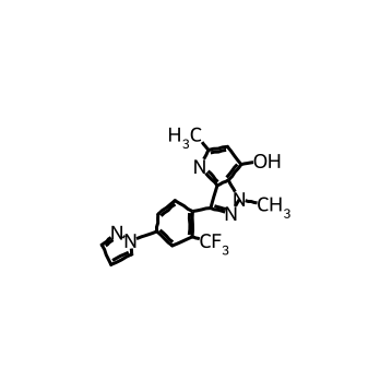 Cc1cc(O)c2c(n1)c(-c1ccc(-n3cccn3)cc1C(F)(F)F)nn2C